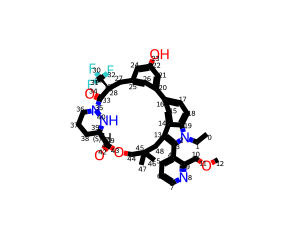 CCn1c(-c2cccnc2COC)c2c3cc(ccc31)-c1cc(O)cc(c1)C[C@H](C(F)(F)F)C(=O)N1CCC[C@H](N1)C(=O)OCC(C)(C)C2